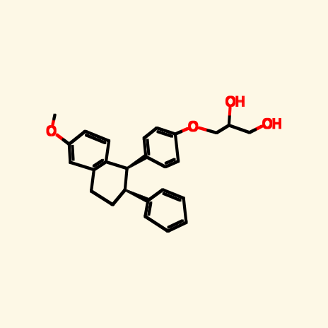 COc1ccc2c(c1)CC[C@H](c1ccccc1)[C@@H]2c1ccc(OCC(O)CO)cc1